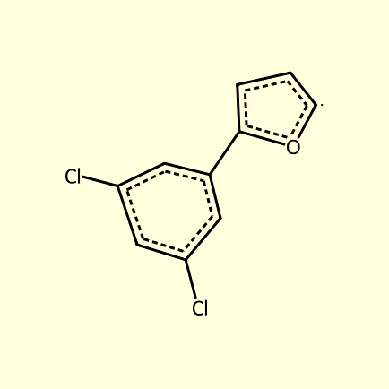 Clc1cc(Cl)cc(-c2cc[c]o2)c1